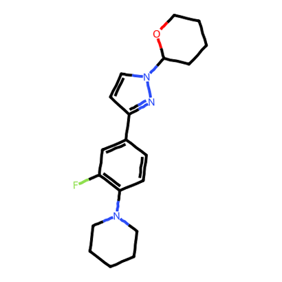 Fc1cc(-c2ccn(C3CCCCO3)n2)ccc1N1CCCCC1